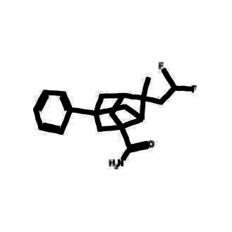 CC1(CC(F)F)C2CC3(c4ccccc4)CC1C(C(N)=O)(C2)C3